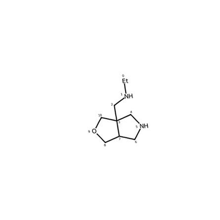 CCNCC12CNCC1COC2